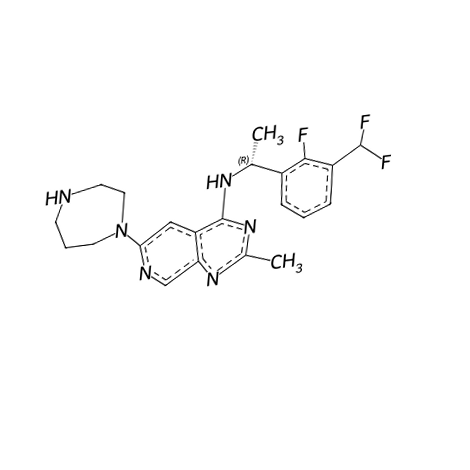 Cc1nc(N[C@H](C)c2cccc(C(F)F)c2F)c2cc(N3CCCNCC3)ncc2n1